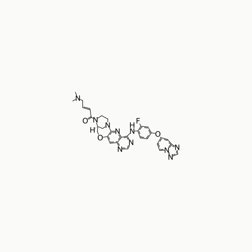 CN(C)CC=CC(=O)N1CCN2C[C@H]1COc1cc3ncnc(Nc4ccc(Oc5ccn6ncnc6c5)cc4F)c3nc12